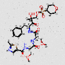 COC[C@H](NC(=O)c1cnc(C)s1)C(=O)N[C@@H](COC)C(=O)N[C@@H](Cc1ccccc1)C(=O)C(C)(O)COS(=O)(=O)C1CCOCC1